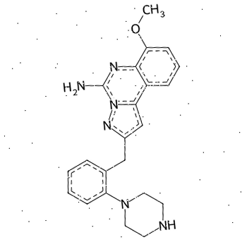 COc1cccc2c1nc(N)n1nc(Cc3ccccc3N3CCNCC3)cc21